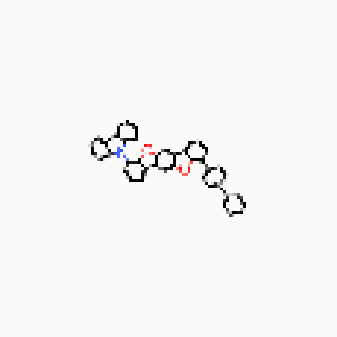 c1ccc(-c2ccc(-c3cccc4c3oc3cc5c(cc34)oc3c(-n4c6ccccc6c6ccccc64)cccc35)cc2)cc1